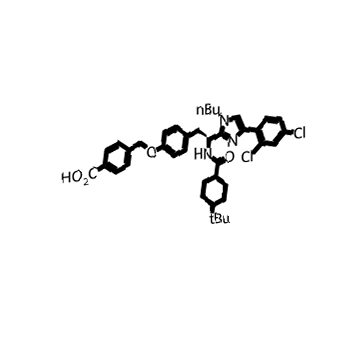 CCCCn1cc(-c2ccc(Cl)cc2Cl)nc1[C@H](Cc1ccc(OCc2ccc(C(=O)O)cc2)cc1)NC(=O)C1CCC(C(C)(C)C)CC1